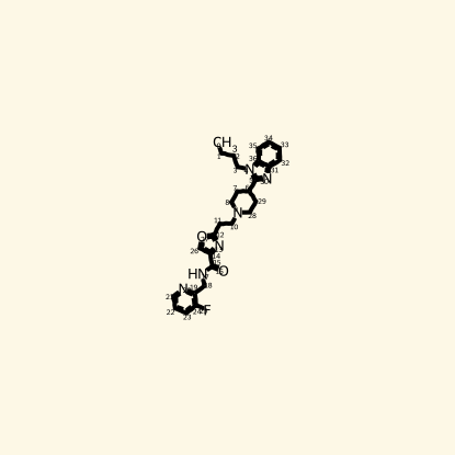 CCCCn1c(C2CCN(CCc3nc(C(=O)NCc4ncccc4F)co3)CC2)nc2ccccc21